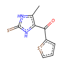 Cc1[nH]c(=S)[nH]c1C(=O)c1cccs1